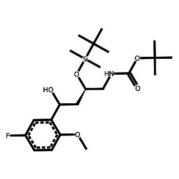 COc1ccc(F)cc1C(O)C[C@H](CNC(=O)OC(C)(C)C)O[Si](C)(C)C(C)(C)C